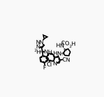 [2H][C@](Nc1cc(Cl)c2ncc(C#N)c(N[C@H]3CCCC[C@H]3NC(=O)O)c2c1)(c1ccc(F)cc1)c1cn(C2CC2)nn1